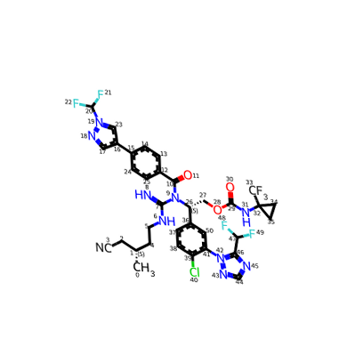 C[C@H](CC#N)CCNC(=N)N(C(=O)c1ccc(-c2cnn(C(F)F)c2)cc1)[C@H](COC(=O)NC1(C(F)(F)F)CC1)c1ccc(Cl)c(-n2ncnc2C(F)F)c1